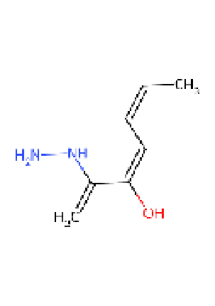 C=C(NN)/C(O)=C\C=C/C